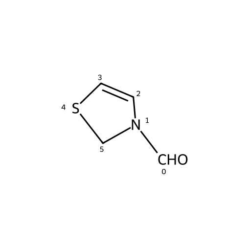 O=CN1C=CSC1